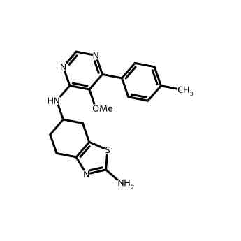 COc1c(NC2CCc3nc(N)sc3C2)ncnc1-c1ccc(C)cc1